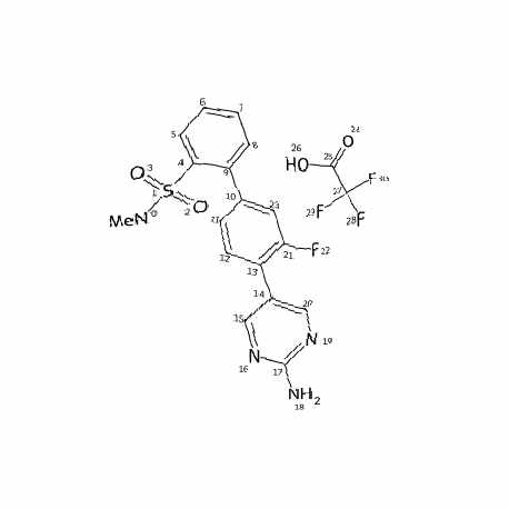 CNS(=O)(=O)c1ccccc1-c1ccc(-c2cnc(N)nc2)c(F)c1.O=C(O)C(F)(F)F